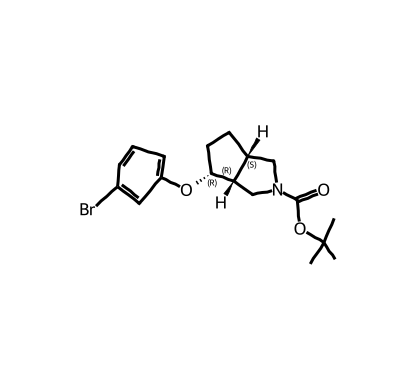 CC(C)(C)OC(=O)N1C[C@H]2CC[C@@H](Oc3cccc(Br)c3)[C@H]2C1